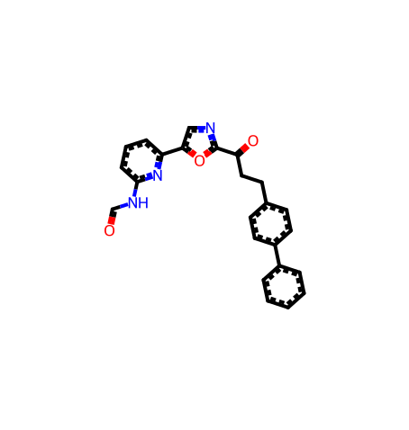 O=CNc1cccc(-c2cnc(C(=O)CCc3ccc(-c4ccccc4)cc3)o2)n1